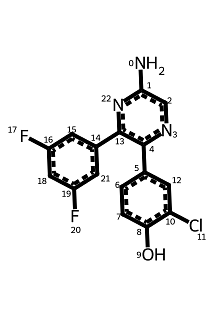 Nc1cnc(-c2ccc(O)c(Cl)c2)c(-c2cc(F)cc(F)c2)n1